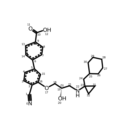 N#Cc1ccc(-c2ccc(C(=O)O)cc2)cc1OC[C@@H](O)CNC1(CC2CCCCC2)CC1